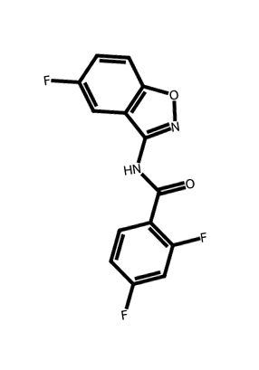 O=C(Nc1noc2ccc(F)cc12)c1ccc(F)cc1F